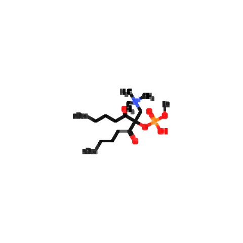 CCCCCCCCCCCCCC(=O)C(C[N+](C)(C)C)(OP(=O)(O)OCC)C(=O)CCCCCCCCCCCCC